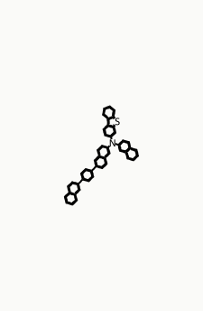 c1ccc2cc(-c3ccc(-c4ccc5cc(N(c6ccc7ccccc7c6)c6ccc7c(c6)sc6ccccc67)ccc5c4)cc3)ccc2c1